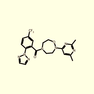 Cc1cc(N2CCN(C(=O)c3cc(C(F)(F)F)ccc3-n3nccn3)CCO2)nc(C)n1